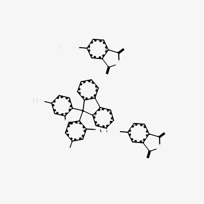 CCCCc1cc(O)ccc1C1(c2ccc(O)cc2CCCC)c2ccccc2-c2ccccc21.O=C(O)c1ccc2c(c1)C(=O)OC2=O.O=C(O)c1ccc2c(c1)C(=O)OC2=O